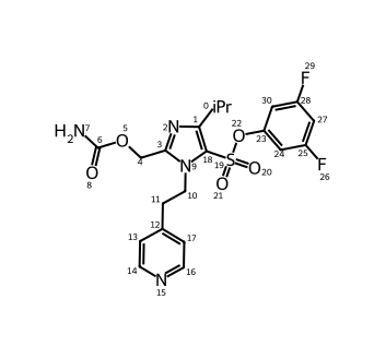 CC(C)c1nc(COC(N)=O)n(CCc2ccncc2)c1S(=O)(=O)Oc1cc(F)cc(F)c1